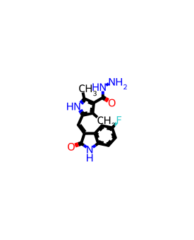 Cc1[nH]c(/C=C2/C(=O)Nc3ccc(F)cc32)c(C)c1C(=O)NN